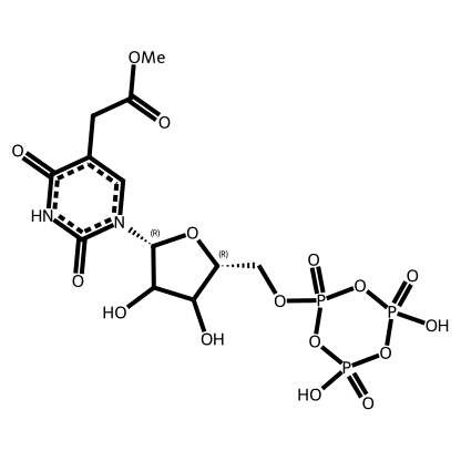 COC(=O)Cc1cn([C@@H]2O[C@H](COP3(=O)OP(=O)(O)OP(=O)(O)O3)C(O)C2O)c(=O)[nH]c1=O